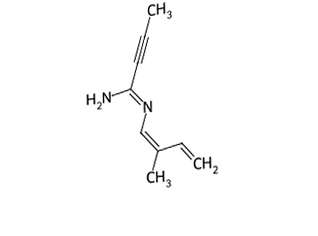 C=C/C(C)=C\N=C(/N)C#CC